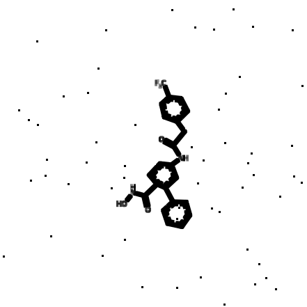 O=C(Cc1ccc(C(F)(F)F)cc1)Nc1ccc(C(=O)NO)c(-c2ccccc2)c1